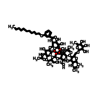 CCCCCCCCCCCOc1cccc(C(=O)NC2C(OC3C(O)C(NC(C)=O)[C@H](O[C@@H](C)C(CO)OC(OC4C(O)C(NC(C)=O)[C@H](OC5C(COC6OC(C)C(O)C(O)C6O)OC(C)C(NC(C)=O)C5O)O[C@H]4CO)[C@H](O)NC(C)=O)O[C@H]3CO)OC(CO)C(O)C2O)c1